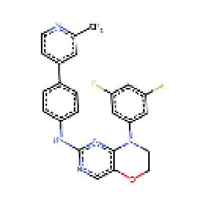 Cc1cc(-c2ccc(Nc3ncc4c(n3)N(c3cc(F)cc(F)c3)CCO4)cc2)ccn1